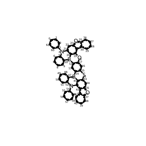 c1ccc(N2c3ccccc3B3c4cc5c(cc4Oc4c3c2cc2oc3ccccc3c42)Sc2cc3oc4ccccc4c3c3c2B5c2ccccc2N3c2ccccc2)cc1